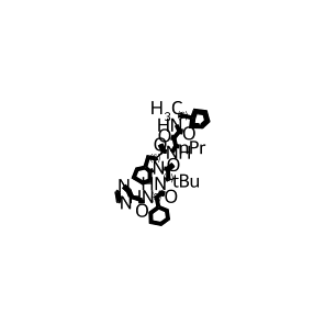 CCCC(NC(=O)[C@@H]1CC2CCCCC2N1C(=O)[C@@H](NC(=O)[C@@H](NC(=O)c1cnccn1)C1CCCCC1)C(C)(C)C)C(=O)C(=O)N[C@@H](C)c1ccccc1